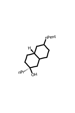 CCCCCC1CCC2C[C@](O)(CCC)CC[C@@H]2C1